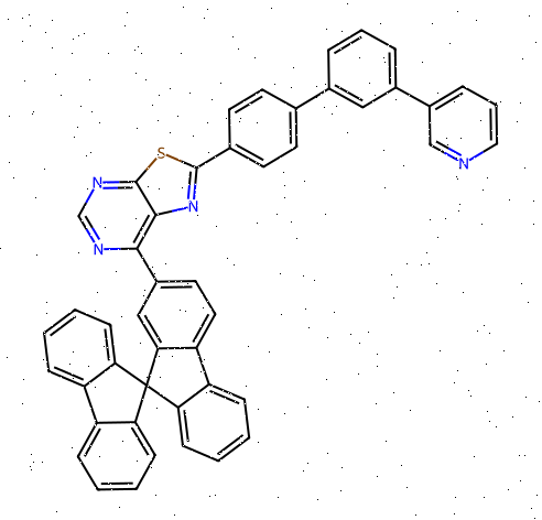 c1cncc(-c2cccc(-c3ccc(-c4nc5c(-c6ccc7c(c6)C6(c8ccccc8-c8ccccc86)c6ccccc6-7)ncnc5s4)cc3)c2)c1